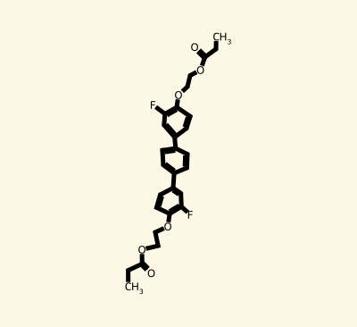 CCC(=O)OCCOc1ccc(-c2ccc(-c3ccc(OCCOC(=O)CC)c(F)c3)cc2)cc1F